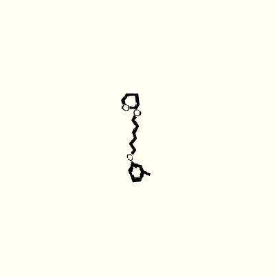 Cc1cccc(OCCCCCCOC2CCCCO2)c1